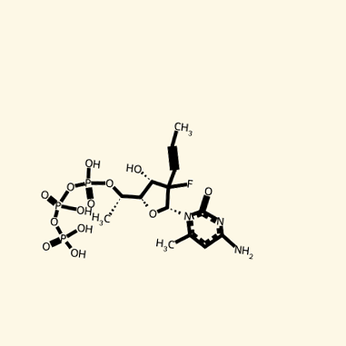 CC#CC1(F)[C@@H](O)[C@@H]([C@H](C)OP(=O)(O)OP(=O)(O)OP(=O)(O)O)O[C@H]1n1c(C)cc(N)nc1=O